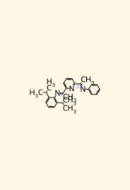 C/C(=N\c1ccccc1)c1cccc(/C(C)=N/c2c(C(C)C)cccc2C(C)C)n1